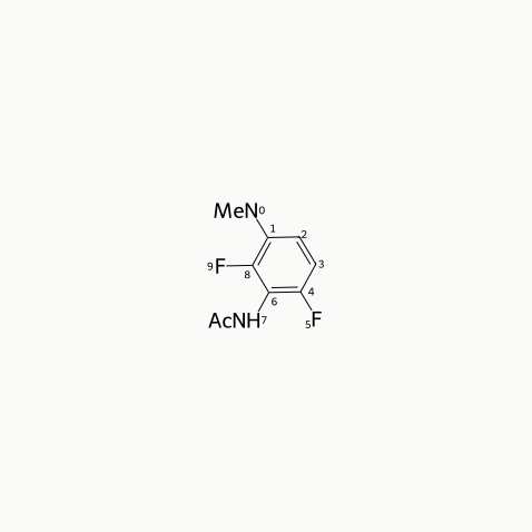 CNc1ccc(F)c(NC(C)=O)c1F